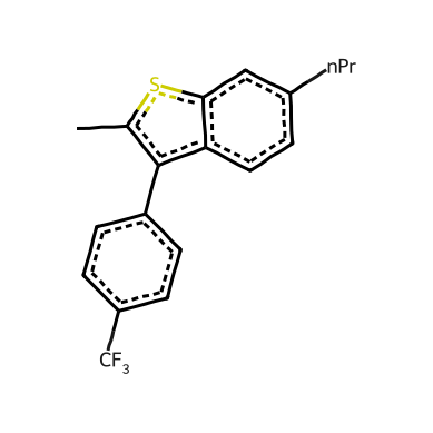 CCCc1ccc2c(-c3ccc(C(F)(F)F)cc3)c(C)sc2c1